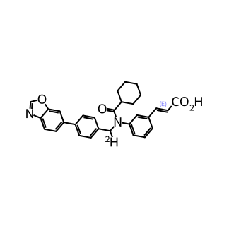 [2H]C(c1ccc(-c2ccc3ncoc3c2)cc1)N(C(=O)C1CCCCC1)c1cccc(/C=C/C(=O)O)c1